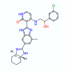 Cc1cc(C2=N[C@@H]3CCCC[C@H]3N2)cc2[nH]c(-c3c(NCC(O)c4cccc(Cl)c4)cc[nH]c3=O)nc12